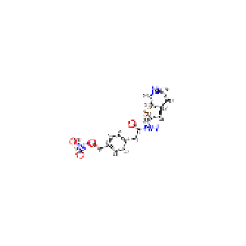 O=C(Cc1ccc(CO[N+](=O)[O-])cc1)Nc1cc2ccncc2s1